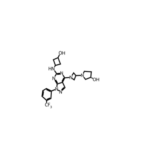 OC1CC(Nc2nc(N3CC(N4CC[C@@H](O)C4)C3)c3cnn(-c4cccc(C(F)(F)F)c4)c3n2)C1